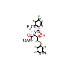 COC(=O)C(NC(=O)c1ccc(F)cc1C(F)(F)F)C(O)CSc1cccc(F)c1